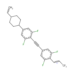 C=CC1CCC(c2cc(F)c(C#Cc3cc(F)c(/C=C/C(F)(F)F)c(F)c3)c(F)c2)CC1